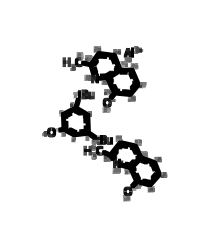 CC(C)(C)c1cc([O-])cc(C(C)(C)C)c1.Cc1ccc2cccc([O-])c2n1.Cc1ccc2cccc([O-])c2n1.[Al+3]